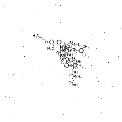 CCc1cc(OCCCCN)ccc1-c1ccc(C[C@H](NC(=O)[C@H](CC(=O)O)NC(=O)[C@H](CO)NC(=O)[C@@H](NC(=O)[C@](C)(Cc2ccccc2F)NC(=O)[C@@H](NC(=O)CNC(=O)[C@@H](N)CCC(N)=O)[C@@H](C)O)[C@@H](C)O)C(=O)N[C@@H](CCCc2cc(C)cc(C)c2)C(N)=O)cc1